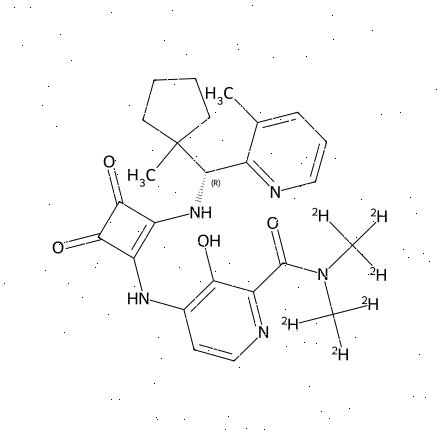 [2H]C([2H])([2H])N(C(=O)c1nccc(Nc2c(N[C@@H](c3ncccc3C)C3(C)CCCC3)c(=O)c2=O)c1O)C([2H])([2H])[2H]